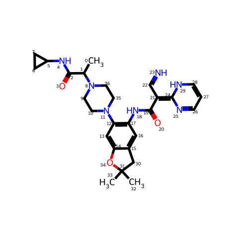 CC(C(=O)NC1CC1)N1CCN(c2cc3c(cc2NC(=O)/C(C=N)=C2\N=CC=CN2)CC(C)(C)O3)CC1